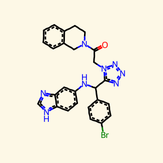 O=C(Cn1nnnc1C(Nc1ccc2[nH]cnc2c1)c1ccc(Br)cc1)N1CCc2ccccc2C1